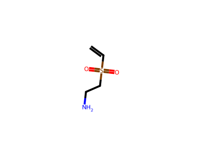 C=CS(=O)(=O)CCN